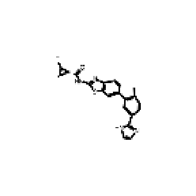 Cc1ccc(-c2ncc[nH]2)cc1-c1ccc2nc(NC(=O)[C@@H]3CC3F)sc2c1